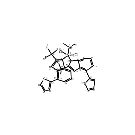 C[SiH](C)[Zr]([Cl])([Cl])([CH]1C(C(F)(F)F)=Cc2c(-c3cccs3)cccc21)[CH]1C(C(F)(F)F)=Cc2c(-c3cccs3)cccc21